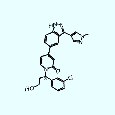 Cn1cc(-c2n[nH]c3ccc(-c4ccn([C@H](CCO)c5cccc(Cl)c5)c(=O)c4)cc23)cn1